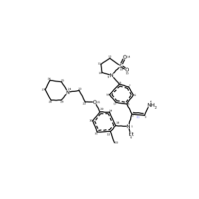 CCN(/C(=C/N)c1ccc(N2CCCS2(=O)=O)cc1)c1cc(OCCN2CCCCC2)ccc1C